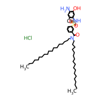 CCCCCCCCCCCCCCCCCCN(CCCCCCCCCCCCCCCCCC)C(=O)c1cccc(S(=O)(=O)Nc2cc(O)c(N)cc2C)c1.Cl